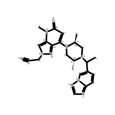 CC(c1ccc2ncnn2c1)N1C[C@H](C)N(c2cc(=O)n(C)c3cn(CC#N)nc23)C[C@H]1C